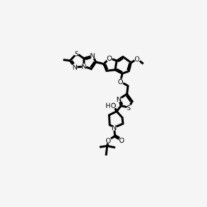 COc1cc(OCc2csc(C3(O)CCN(C(=O)OC(C)(C)C)CC3)n2)c2cc(-c3cn4nc(C)sc4n3)oc2c1